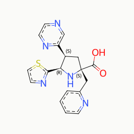 O=C(O)[C@@]1(Cc2ccccn2)C[C@H](c2cnccn2)[C@H](c2nccs2)N1